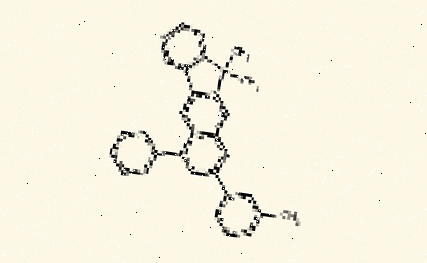 Cc1cccc(-c2cc(-c3ccccc3)c3cc4c(cc3n2)C(C)(C)c2ccccc2-4)c1